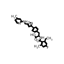 CCc1cc(F)cc(C)c1C(=O)NC(Cc1ccc(-c2cc(CNc3cc(C)ccn3)sn2)cc1)C(=O)O